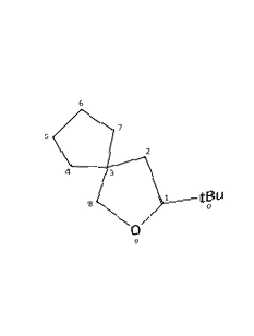 CC(C)(C)C1CC2(CCCC2)CO1